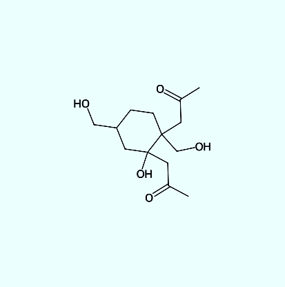 CC(=O)CC1(O)CC(CO)CCC1(CO)CC(C)=O